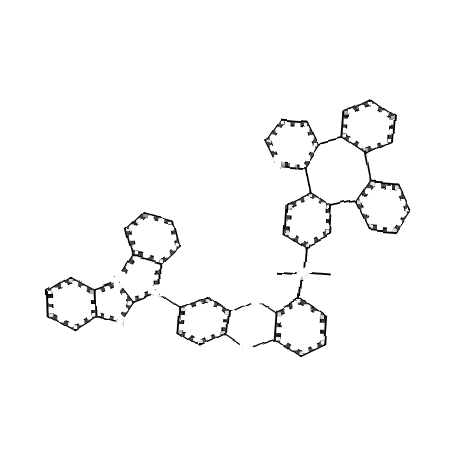 C[Si](C)(c1ccc2c(c1)-c1ccccc1-c1ccccc1-c1cccnc1-2)c1cccc2c1Sc1cc(-n3c4ccccc4n4c5ccccc5nc34)ccc1O2